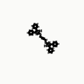 C(#CCSc1nc(-c2ccccc2)c(-c2ccccc2)[nH]1)CSc1nc(-c2ccccc2)c(-c2ccccc2)[nH]1